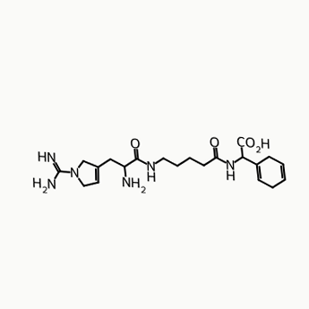 N=C(N)N1CC=C(CC(N)C(=O)NCCCCC(=O)NC(C(=O)O)C2=CCC=CC2)C1